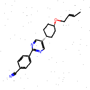 CC=CCO[C@H]1CC[C@H](c2cnc(-c3ccc(C#N)cc3)nc2)CC1